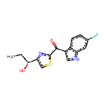 CC[C@H](O)c1csc(C(=O)c2c[nH]c3cc(F)ccc23)n1